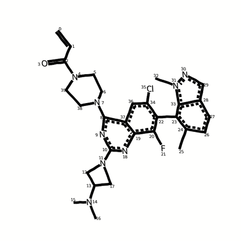 C=CC(=O)N1CCN(c2nc(N3CC(N(C)C)C3)nc3c(F)c(-c4c(C)ccc5cnn(C)c45)c(Cl)cc23)CC1